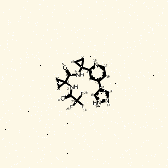 O=C(NC1(C(=O)NC2(c3cc(-c4cn[nH]c4)ccn3)CC2)CC1)C(F)(F)F